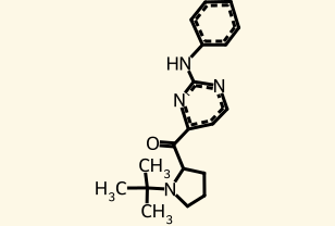 CC(C)(C)N1CCCC1C(=O)c1ccnc(Nc2ccccc2)n1